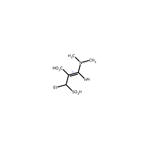 CCC/C(=C(/C(=O)O)C(CC)S(=O)(=O)O)N(C)C